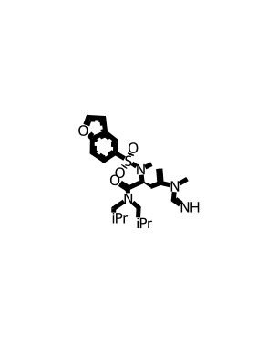 C=C(C[C@@H](C(=O)N(CC(C)C)CC(C)C)N(C)S(=O)(=O)c1ccc2occc2c1)N(C)C=N